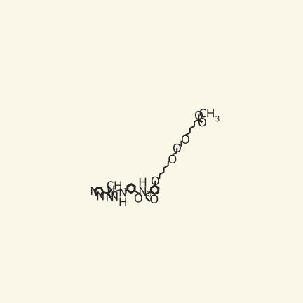 COC(=O)CCCCCOCCOCCOCCCCCCOc1ccc2c(c1)[C@@H](NC(=O)c1cccc(NCc3nnc(-c4ccncn4)n3C)c1)CCO2